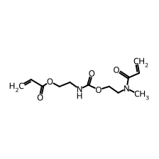 C=CC(=O)OCCNC(=O)OCCN(C)C(=O)C=C